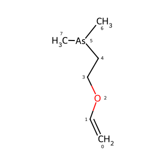 C=COCC[As](C)C